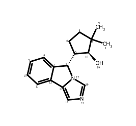 CC1(C)CCC([C@H]2c3ccccc3-c3cncn32)[C@@H]1O